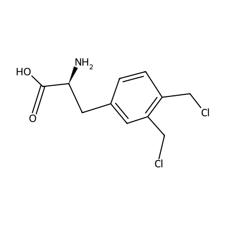 N[C@@H](Cc1ccc(CCl)c(CCl)c1)C(=O)O